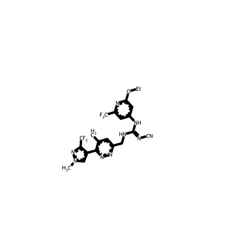 CCOc1cc(N/C(=N\C#N)NCc2cc(C)c(-c3cn(C)nc3C(F)(F)F)nn2)cc(C(F)(F)F)n1